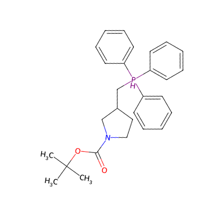 CC(C)(C)OC(=O)N1CCC(C[PH](c2ccccc2)(c2ccccc2)c2ccccc2)C1